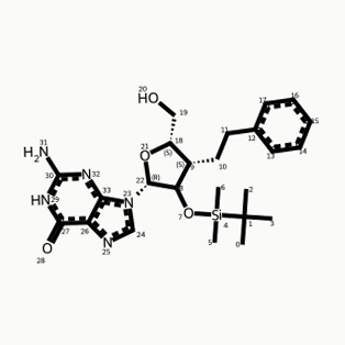 CC(C)(C)[Si](C)(C)OC1[C@@H](CCc2ccccc2)[C@@H](CO)O[C@H]1n1cnc2c(=O)[nH]c(N)nc21